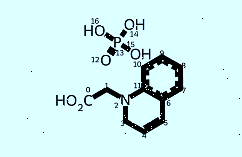 O=C(O)CN1CC=Cc2ccccc21.O=P(O)(O)O